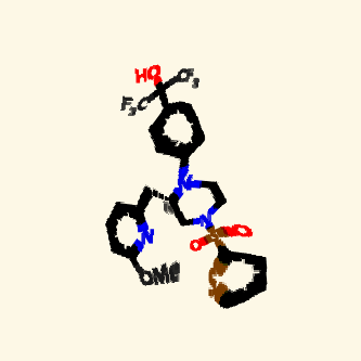 COc1cccc(C[C@H]2CN(S(=O)(=O)c3cccs3)CCN2c2ccc(C(O)(C(F)(F)F)C(F)(F)F)cc2)n1